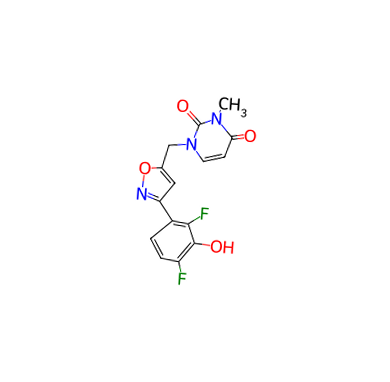 Cn1c(=O)ccn(Cc2cc(-c3ccc(F)c(O)c3F)no2)c1=O